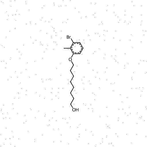 Cc1c(Br)cccc1OCCCCCCCCO